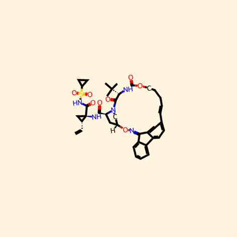 C=C[C@@H]1C[C@]1(NC(=O)[C@@H]1C[C@@H]2CN1C(=O)[C@H](C(C)(C)C)NC(=O)OCCC/C=C/c1ccc3c(c1)/C(=N/O2)c1ccccc1-3)C(=O)NS(=O)(=O)C1CC1